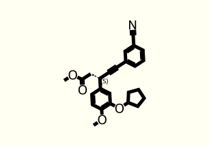 COC(=O)C[C@H](C#Cc1cccc(C#N)c1)c1ccc(OC)c(OC2CCCC2)c1